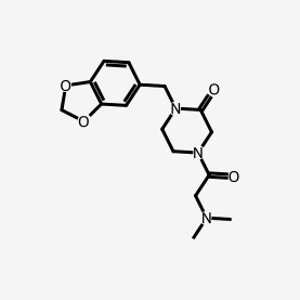 CN(C)CC(=O)N1CCN(Cc2ccc3c(c2)OCO3)C(=O)C1